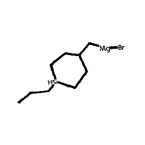 CCC[SiH]1CCC([CH2][Mg][Br])CC1